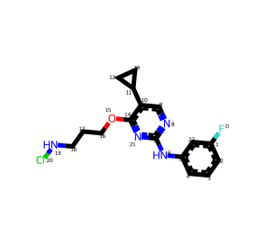 Fc1cccc(Nc2ncc(C3CC3)c(OCCCNCl)n2)c1